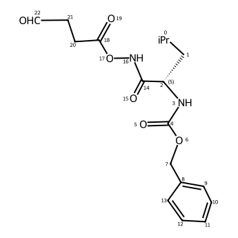 CC(C)C[C@H](NC(=O)OCc1ccccc1)C(=O)NOC(=O)CCC=O